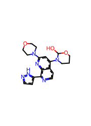 OC1OCCCN1c1cc(N2CCOCC2)nc2c(-c3ccn[nH]3)nccc12